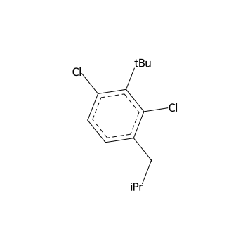 CC(C)Cc1ccc(Cl)c(C(C)(C)C)c1Cl